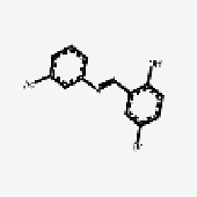 CC(=O)c1cccc(/N=C/c2cc(Br)ccc2O)c1